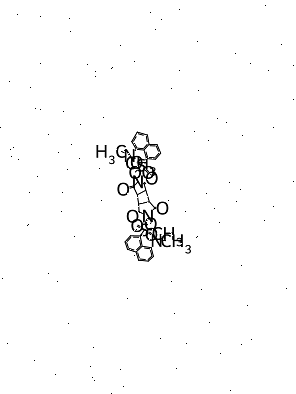 CN(C)c1cccc2cccc(S(=O)(=O)ON3C(=O)C4C(C3=O)C3C(=O)N(OS(=O)(=O)c5cccc6cccc(N(C)C)c56)C(=O)C43)c12